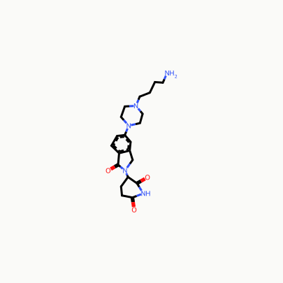 NCCCCN1CCN(c2ccc3c(c2)CN(C2CCC(=O)NC2=O)C3=O)CC1